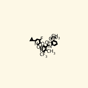 COc1nc(C2CC2)cc(F)c1Oc1nnc(C(F)(F)F)c(C)c1C(=O)Nc1cccc(S(C)(=O)=O)c1